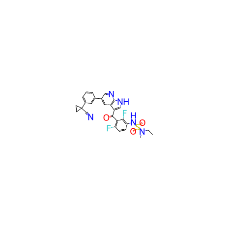 CCN(C)S(=O)(=O)Nc1ccc(F)c(C(=O)c2c[nH]c3ncc(-c4cccc(C5(C#N)CC5)c4)cc23)c1F